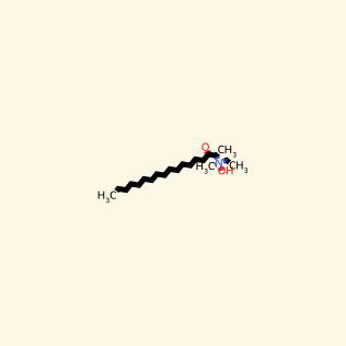 CCCCCCCCCCCCCCCC(=O)C(C)[N+](C)(O)CC